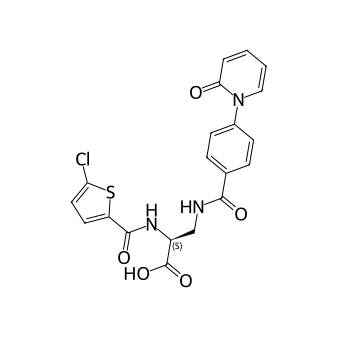 O=C(NC[C@H](NC(=O)c1ccc(Cl)s1)C(=O)O)c1ccc(-n2ccccc2=O)cc1